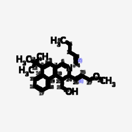 CCC/C=C\[N+]1=Cc2cc(C(C)(C)C)c3ccccc3c2C(CO)C1/C=C/COC